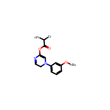 CCCCOc1cccc(N2C=C(OC(=O)C(CC)CCC)N=CC2)c1